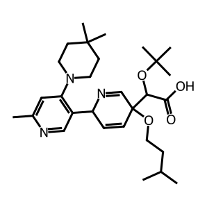 Cc1cc(N2CCC(C)(C)CC2)c(C2C=CC(OCCC(C)C)(C(OC(C)(C)C)C(=O)O)C=N2)cn1